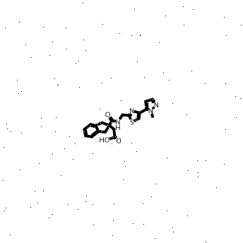 Cn1nccc1-c1csc(CNC(=O)C2(CC(=O)O)Cc3ccccc3C2)n1